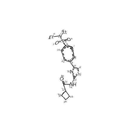 CCN(CC)S(=O)(=O)c1ccc(-c2csc(NC(=O)C3CCC3)n2)cc1